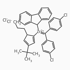 CCCC1C=C(C(C)(C)C)C=[C]1[Zr+2](=[C](c1ccc(Cl)cc1)c1ccc(Cl)cc1)[CH]1c2ccccc2-c2ccccc21.[Cl-].[Cl-]